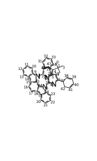 CC(C)(C)c1ccc(-n2c3ccccc3c3ccc4c5ccccc5n(-c5nc(-c6ccccc6)cc(C6C=CC=CC6)n5)c4c32)cc1